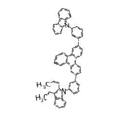 C=Cc1c(/C=C\C)n(-c2cccc(-c3ccc4c5ccc(-c6cccc(-n7c8ccccc8c8ccccc87)c6)cc5c5ccccc5c4c3)c2)c2ccccc12